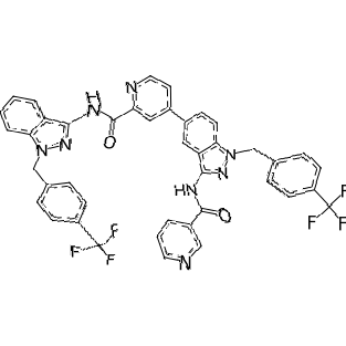 O=C(Nc1nn(Cc2ccc(C(F)(F)F)cc2)c2ccc(-c3ccnc(C(=O)Nc4nn(Cc5ccc(C(F)(F)F)cc5)c5ccccc45)c3)cc12)c1cccnc1